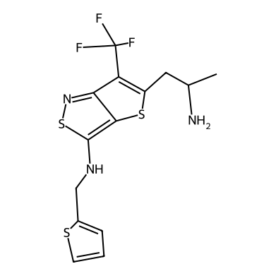 CC(N)Cc1sc2c(NCc3cccs3)snc2c1C(F)(F)F